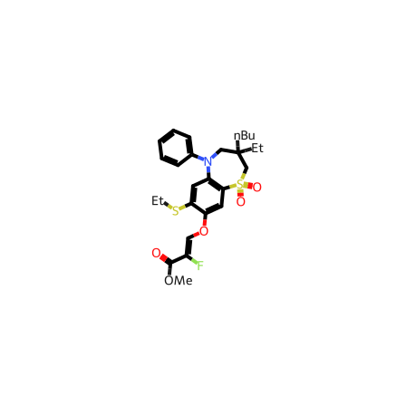 CCCCC1(CC)CN(c2ccccc2)c2cc(SCC)c(O/C=C(\F)C(=O)OC)cc2S(=O)(=O)C1